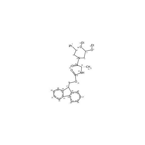 CCOC(CN(CCC(C)C)C(=O)[C@H](C)NC(=O)OCC1c2ccccc2-c2ccccc21)OCC